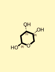 O[C@@H]1CO[C@@H](O)C[C@@H]1O